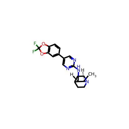 C[C@@H]1[C@@H](Nc2ncc(-c3ccc4c(c3)OC(F)(F)O4)cn2)C2CCN1CC2